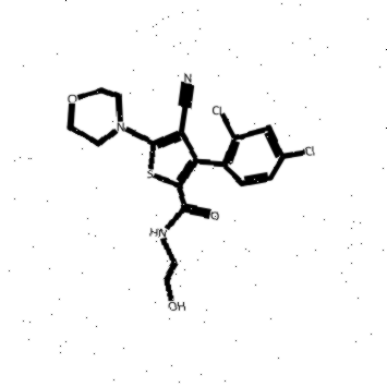 N#Cc1c(N2CCOCC2)sc(C(=O)NCCO)c1-c1ccc(Cl)cc1Cl